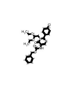 CCOC(Cn1c(-c2ccc(Cl)cc2)ncc(NC(=O)OCc2ccccc2)c1=O)OCC